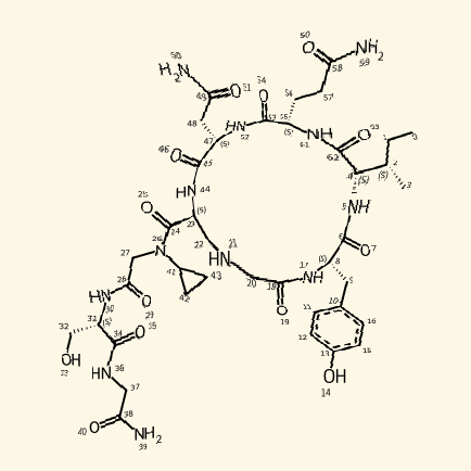 CC[C@H](C)[C@@H]1NC(=O)[C@H](Cc2ccc(O)cc2)NC(=O)CNC[C@@H](C(=O)N(CC(=O)N[C@@H](CO)C(=O)NCC(N)=O)C2CC2)NC(=O)[C@H](CC(N)=O)NC(=O)[C@H](CCC(N)=O)NC1=O